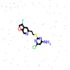 Nc1cc(Cl)nc(SCCc2cc3c(F)coc3cn2)n1